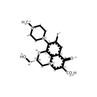 CN1CCN(c2c(F)cc3c(=O)c(C(=O)O)cn4c3c2O[C@@H](CO)C4)CC1